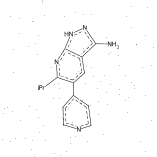 CC(C)c1nc2[nH]nc(N)c2cc1-c1ccncc1